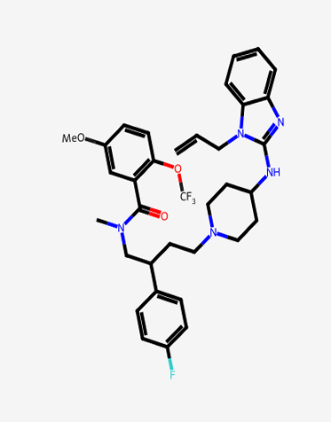 C=CCn1c(NC2CCN(CCC(CN(C)C(=O)c3cc(OC)ccc3OC(F)(F)F)c3ccc(F)cc3)CC2)nc2ccccc21